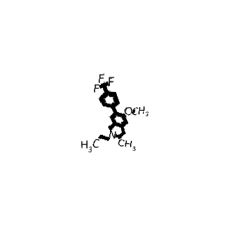 CCCN1Cc2cc(-c3ccc(C(F)(F)F)cc3)c(OC)cc2CC1C